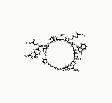 CC(C)CC1NC(=O)[C@H](CC(N)=O)NC(=O)C(C)(C)CCCCCCn2nncc2CCC[C@@](C)(C(=O)N[C@@H](CCC(N)=O)C(=O)N[C@@H](CC(N)=O)C(N)=O)NN[C@@H](CC(C)C)C(=O)C(=O)[C@H](CC(C)C)NC(=O)C(CCCNC(=N)N)NC(=O)[C@H](Cc2c[nH]c3ccccc23)NC1=O